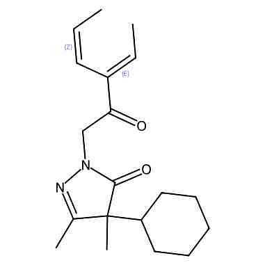 C/C=C\C(=C/C)C(=O)CN1N=C(C)C(C)(C2CCCCC2)C1=O